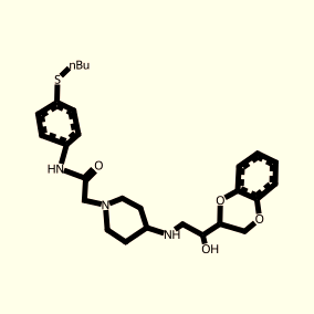 CCCCSc1ccc(NC(=O)CN2CCC(NCC(O)C3COc4ccccc4O3)CC2)cc1